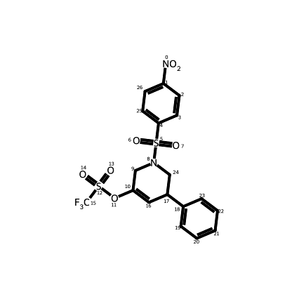 O=[N+]([O-])c1ccc(S(=O)(=O)N2CC(OS(=O)(=O)C(F)(F)F)=CC(c3ccccc3)C2)cc1